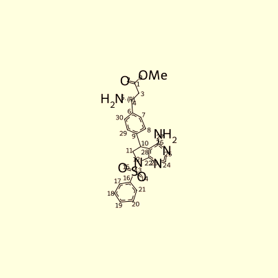 COC(=O)C[C@@H](N)c1ccc(C2CN(S(=O)(=O)c3ccccc3)c3ncnc(N)c32)cc1